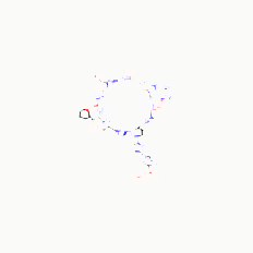 C/N=C1\SCCC(=O)Nc2nc(c(COC)s2)C(=O)NCC(=O)N[C@@H]([C@@H](O)c2ccccc2)c2nc(cs2)-c2nc(cs2)-c2nc(-c3nc(-n4cnc(C(=O)O)c4)cs3)ccc2-c2nc(cs2)C(=O)N[C@H]1CC(=O)NC